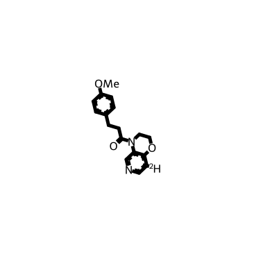 [2H]c1cncc2c1OCCN2C(=O)CCc1ccc(OC)cc1